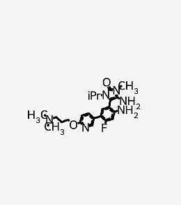 CC(C)n1c(-c2cc(-c3ccc(OCCCN(C)C)nc3)c(F)cc2N)c(N)n(C)c1=O